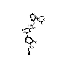 CC1CN(c2ncccc2CNC(=O)c2cnnc(-c3ccc(OCC4CC4)c(Cl)c3)c2)CCO1